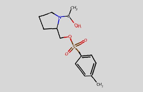 CB(O)N1CCCC1COS(=O)(=O)c1ccc(C)cc1